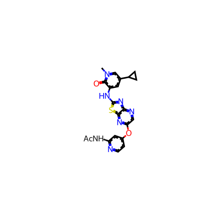 CC(=O)Nc1cc(Oc2cnc3nc(Nc4cc(C5CC5)cn(C)c4=O)sc3n2)ccn1